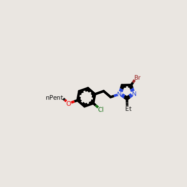 CCCCCOc1ccc(CCn2cc(Br)nc2CC)c(Cl)c1